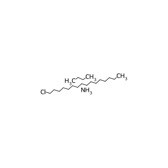 CCCC.CCCCCCCCCCCCCCCCCl.N